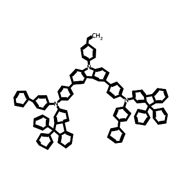 C=Cc1ccc(-n2c3ccc(-c4ccc(N(c5ccc(-c6ccccc6)cc5)c5ccc6c(c5)C(c5ccccc5)(c5ccccc5)c5ccccc5-6)cc4)cc3c3cc(-c4ccc(N(c5ccc(-c6ccccc6)cc5)c5ccc6c(c5)C(c5ccccc5)(c5ccccc5)c5ccccc5-6)cc4)ccc32)cc1